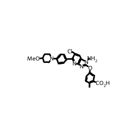 COC1CCN(c2ccc(-c3nc4nc(Oc5ccc(C)c(C(=O)O)c5)n(N)c4cc3Cl)cc2)CC1